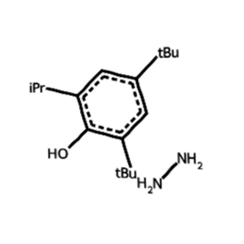 CC(C)c1cc(C(C)(C)C)cc(C(C)(C)C)c1O.NN